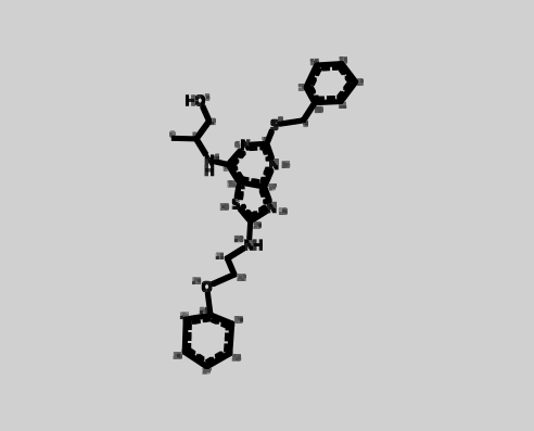 CC(CO)Nc1nc(SCc2ccccc2)nc2nc(NCCOc3ccccc3)sc12